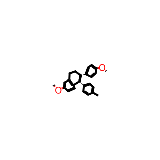 COc1ccc([C@H]2CCc3cc(OC)ccc3[C@H]2c2ccc(C)cc2)cc1